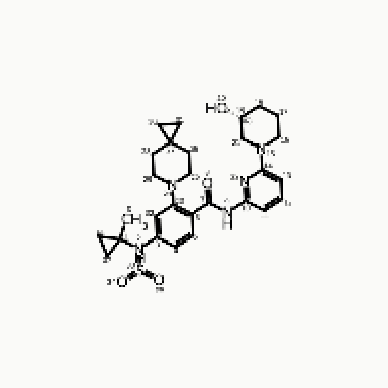 CC1(N(c2ccc(C(=O)Nc3cccc(N4CCC[C@@H](O)C4)n3)c(N3CCC4(CC3)CC4)c2)[SH](=O)=O)CC1